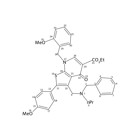 CCCN(Cc1ccccc1)Cc1c(-c2ccc(OC)cc2)sc2c1c(=O)c(C(=O)OCC)cn2Cc1ccccc1OC